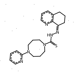 S=C(N/N=C1/CCCc2cccnc21)N1CCCN(c2ccccn2)CCC1